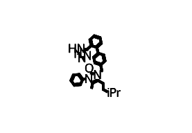 Cc1c(CCC(C)C)n(Cc2ccc(-c3ccccc3-c3nnn[nH]3)cc2)c(=O)n1-c1ccccc1